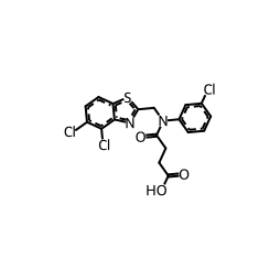 O=C(O)CCC(=O)N(Cc1nc2c(Cl)c(Cl)ccc2s1)c1cccc(Cl)c1